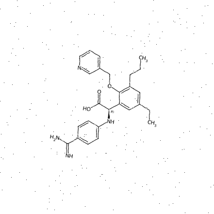 CCCc1cc(CC)cc([C@@H](Nc2ccc(C(=N)N)cc2)C(=O)O)c1OCc1cccnc1